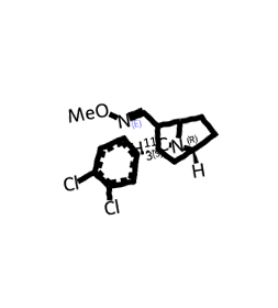 CO/N=C/C1C2CC[C@H](C[C@@H]1c1ccc(Cl)c(Cl)c1)N2[11CH3]